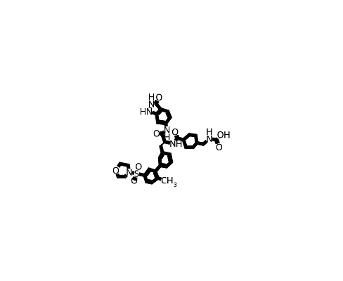 Cc1ccc(S(=O)(=O)N2CCOCC2)cc1-c1cccc(C[C@H](NC(=O)C2CCC(CNC(=O)O)CC2)C(=O)Nc2ccc3c(=O)[nH][nH]c3c2)c1